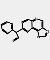 O=CC(c1ccccc1)c1ccc2ncc3nc[nH]c3c2c1